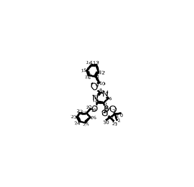 CC1(C)OB(c2cnc(OCc3ccccc3)nc2OCc2ccccc2)OC1(C)C